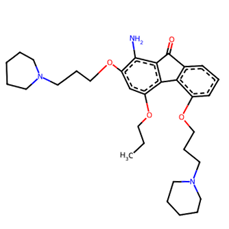 CCCOc1cc(OCCCN2CCCCC2)c(N)c2c1-c1c(OCCCN3CCCCC3)cccc1C2=O